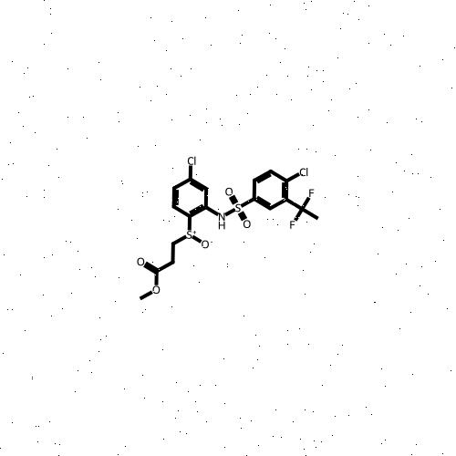 COC(=O)CC[S+]([O-])c1ccc(Cl)cc1NS(=O)(=O)c1ccc(Cl)c(C(C)(F)F)c1